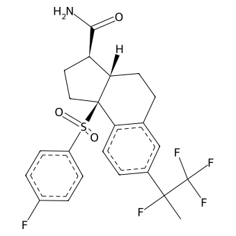 CC(F)(c1ccc2c(c1)CC[C@H]1[C@H](C(N)=O)CC[C@@]21S(=O)(=O)c1ccc(F)cc1)C(F)(F)F